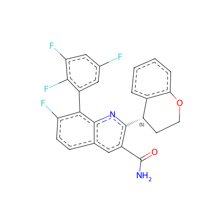 NC(=O)c1cc2ccc(F)c(-c3cc(F)cc(F)c3F)c2nc1[C@H]1CCOc2ccccc21